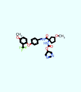 COc1ccc(Oc2ccc(CNC(=O)C3(NC(=O)Oc4cncnc4)CCC(OC)C3)cc2)c(C(F)(F)F)c1